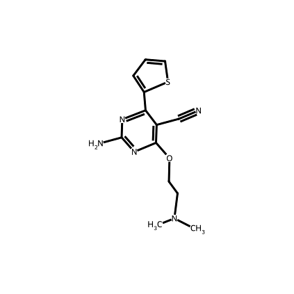 CN(C)CCOc1nc(N)nc(-c2cccs2)c1C#N